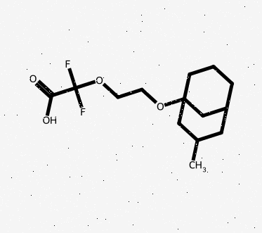 CC1CC2CCCC(OCCOC(F)(F)C(=O)O)(C1)C2